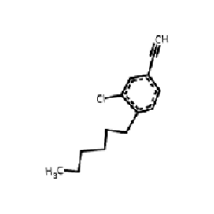 C#Cc1ccc(CCCCCC)c(Cl)c1